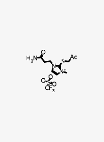 CC(=O)CSc1n(CCC(N)=O)cc[n+]1C.O=S(=O)([O-])C(F)(F)F